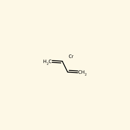 C=CC=C.[Cr]